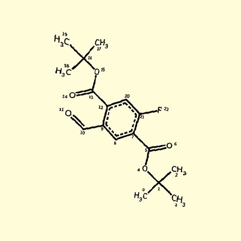 CC(C)(C)OC(=O)c1cc(C=O)c(C(=O)OC(C)(C)C)cc1F